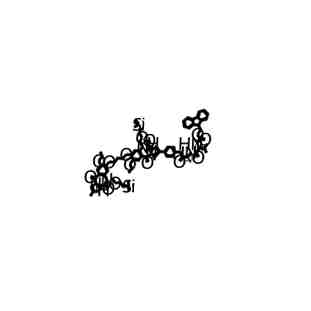 CCOc1cc2c(cc1OCCCOc1cc3c(cc1OCC)C(=O)N1C=C(c4ccc(CC(=O)[C@H](C)NC(=O)[C@@H](NC(=O)OCC5c6ccccc6-c6ccccc65)C(C)C)cc4)C[C@H]1C(=O)N3COCC[Si](C)(C)C)N(COCC[Si](C)(C)C)C(=O)[C@@H]1CC(C)=CN1C2=O